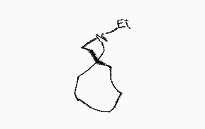 CCN1CC12CCCCC2